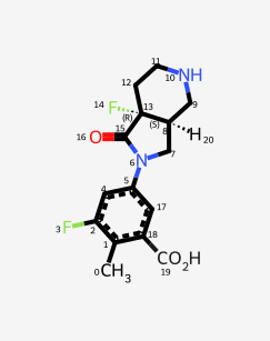 Cc1c(F)cc(N2C[C@@H]3CNCC[C@]3(F)C2=O)cc1C(=O)O